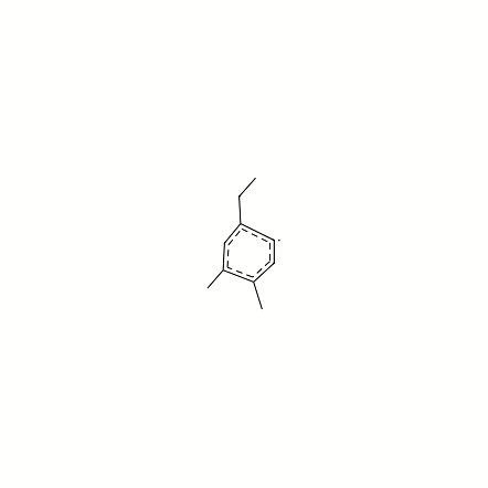 CCc1[c]cc(C)c(C)c1